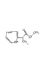 COC(=O)C(C)C1=CC=CC=CN1